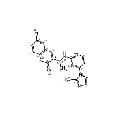 Cc1nccn1-c1ccnc(N[C@@H](C)c2cc3cc(Cl)ccc3[nH]c2=O)n1